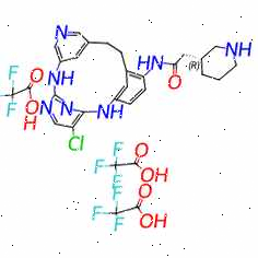 O=C(C[C@H]1CCCNC1)Nc1ccc2cc1CCc1cncc(c1)Nc1ncc(Cl)c(n1)N2.O=C(O)C(F)(F)F.O=C(O)C(F)(F)F.O=C(O)C(F)(F)F